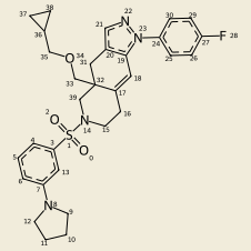 O=S(=O)(c1cccc(N2CCCC2)c1)N1CCC2=Cc3c(cnn3-c3ccc(F)cc3)CC2(COCC2CC2)C1